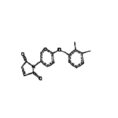 Cc1cccc(Oc2ccc(N3C(=O)C=CC3=O)cc2)c1C